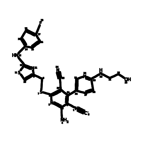 [C-]#[N+]c1c(N)nc(SCc2csc(Nc3ccc(F)cc3)n2)c(C#N)c1-c1ccc(NCCO)nc1